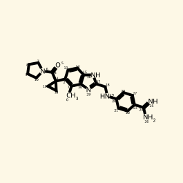 Cc1c(C2(C(=O)N3CCCC3)CC2)ccc2[nH]c(CNc3ccc(C(=N)N)cc3)nc12